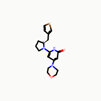 O=c1cc(N2CCOCC2)cc(N2CCC[C@H]2Cc2ccsc2)[nH]1